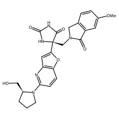 COc1ccc2c(c1)C(=O)N(C[C@@]1(c3cc4nc(N5CCC[C@H]5CO)ccc4o3)NC(=O)NC1=O)C2